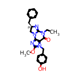 CCN1C(=O)c2c(nc(OC)n2Cc2ccc(O)cc2)N2C[C@@H](Cc3ccccc3)N=C12